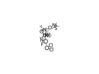 Cc1nc(COC2CC(c3cc4c(C)nc5c(F)c(-c6cccc(Cl)c6Cl)ccc5c4n3C3C4CNC3C4)N(C(=O)C3CC3)C2)sc1C